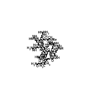 C=CC(C)(COC(C)(CC)CCNC(=O)[C@@H](CS)NC(=O)[C@@H](CCCNC(=N)N)NC(=O)[C@@H](CCCNC(=N)N)NC(=O)[C@@H](CCCNC(=N)N)NC(=O)[C@@H](CCCNC(=N)N)NC(=O)[C@@H](CCCNC(=N)N)NC(=O)[C@@H](CCCNC(=N)N)NC(=O)[C@@H](CCCNC(=N)N)NC(=O)[C@@H](CCCNC(=N)N)NC(=O)CNC(=O)[C@H](C)NC)OCCCC(N)=O